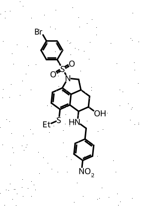 CCSc1ccc2c3c1C(NCc1ccc([N+](=O)[O-])cc1)C(O)CC3CN2S(=O)(=O)c1ccc(Br)cc1